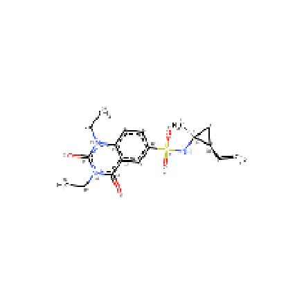 C=C[C@@H]1C[C@]1(C)NS(=O)(=O)c1ccc2c(c1)c(=O)n(CC)c(=O)n2CC